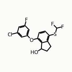 OC1CCc2c(SC(F)F)ccc(Oc3cc(F)cc(Cl)c3)c21